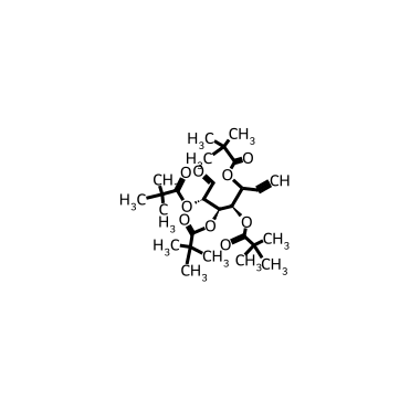 C#CC(OC(=O)C(C)(C)C)[C@@H](OC(=O)C(C)(C)C)[C@@H](OC(=O)C(C)(C)C)[C@@H](C=O)OC(=O)C(C)(C)C